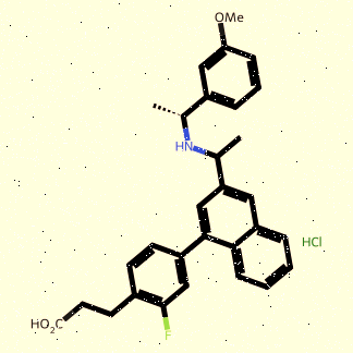 COc1cccc([C@@H](C)NC(C)c2cc(-c3ccc(CCC(=O)O)c(F)c3)c3ccccc3c2)c1.Cl